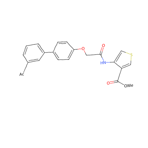 COC(=O)c1cscc1NC(=O)COc1ccc(-c2cccc(C(C)=O)c2)cc1